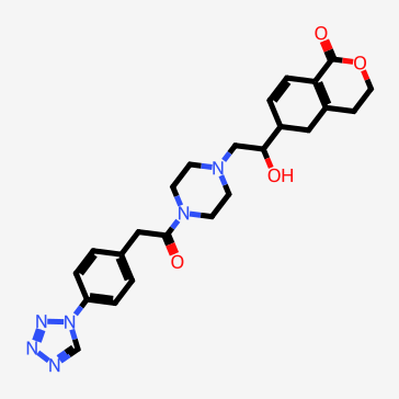 O=C1OCCC2=C1C=CC(C(O)CN1CCN(C(=O)Cc3ccc(-n4cnnn4)cc3)CC1)C2